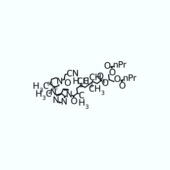 CCCC(=O)OCC(COC(=O)CCC)OC(=O)CC(C)C(C)(C)CC(C)CC(C)C(=O)n1ccc2c(N(C)[C@H]3CN(C(=O)CC#N)CC[C@H]3C)ncnc21